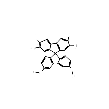 CCOc1ccc(C2(c3ccc(OCC)cc3)c3cc(C(C)(C)C)c(C)cc3-c3cc(C)c(C(C)(C)C)cc32)cc1